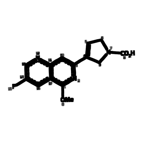 COc1nc(C2=CCN(C(=O)O)C2)cc2ncc(F)cc12